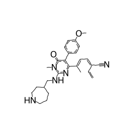 C=C/C(C#N)=C\C=C(/C)c1nc(NCC2CCCNCC2)n(C)c(=O)c1-c1ccc(OC)cc1